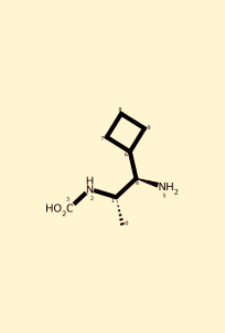 C[C@H](NC(=O)O)[C@H](N)C1CCC1